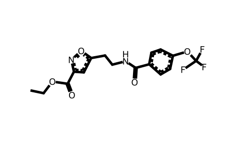 CCOC(=O)c1cc(CCNC(=O)c2ccc(OC(F)(F)F)cc2)on1